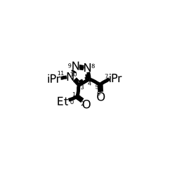 CCC(=O)c1c(C(=O)C(C)C)nnn1C(C)C